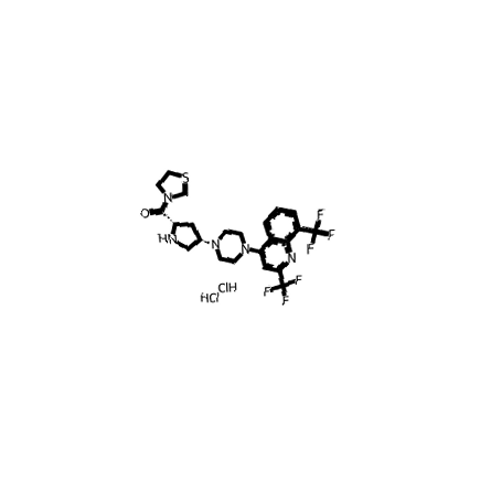 Cl.Cl.O=C([C@@H]1C[C@H](N2CCN(c3cc(C(F)(F)F)nc4c(C(F)(F)F)cccc34)CC2)CN1)N1CCSC1